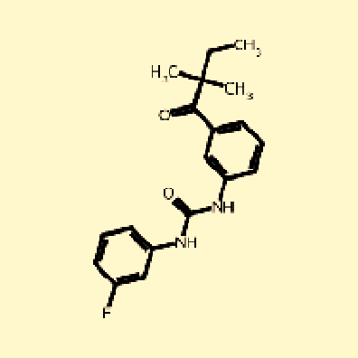 CCC(C)(C)C(=O)c1cccc(NC(=O)Nc2cccc(F)c2)c1